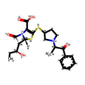 CC[C@H](O)[C@@H]1C(=O)N2C(C(=O)O)=C(SC3CCN(C(C)C(=O)c4ccccc4)C3)S[C@H]12